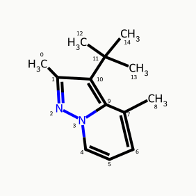 Cc1nn2cccc(C)c2c1C(C)(C)C